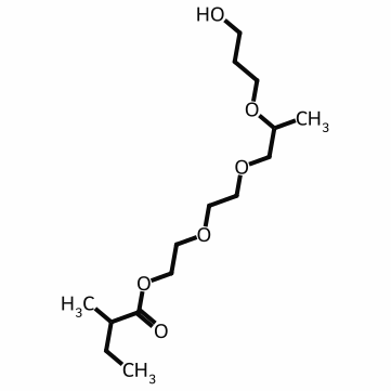 CCC(C)C(=O)OCCOCCOCC(C)OCCCO